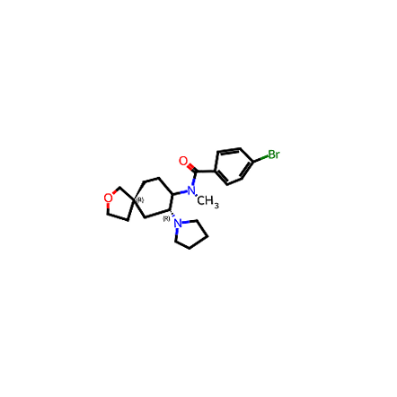 CN(C(=O)c1ccc(Br)cc1)C1CC[C@]2(CCOC2)C[C@H]1N1CCCC1